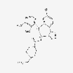 CCOC(=O)CN1CCN(C(=O)C[C@H]2O[C@H](c3cccc(OC)c3OC)c3cc(Cl)ccc3-n3cccc32)CC1